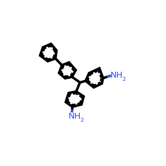 Nc1ccc(C(c2ccc(N)cc2)c2ccc(-c3ccccc3)cc2)cc1